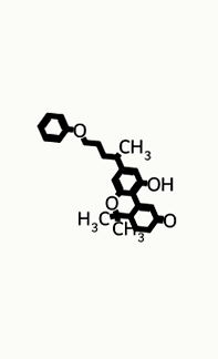 CC(CCCOc1ccccc1)c1cc(O)c2c(c1)OC(C)(C)C1CCC(=O)C=C21